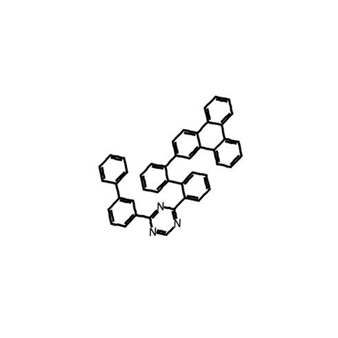 c1ccc(-c2cccc(-c3ncnc(-c4ccccc4-c4ccccc4-c4ccc5c6ccccc6c6ccccc6c5c4)n3)c2)cc1